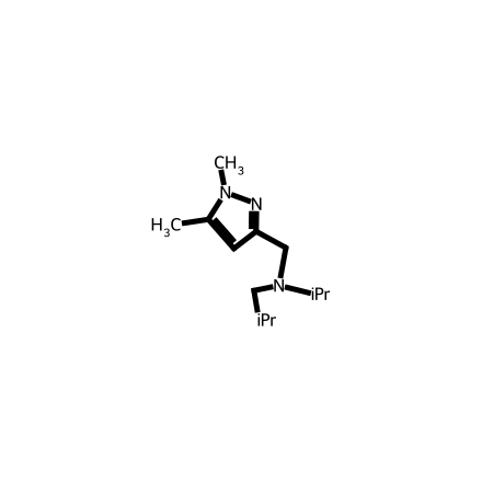 Cc1cc(CN(CC(C)C)C(C)C)nn1C